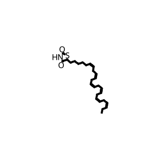 CC/C=C\C/C=C\C/C=C\C/C=C\C/C=C\C/C=C\CCCCCC1SC(=O)NC1=O